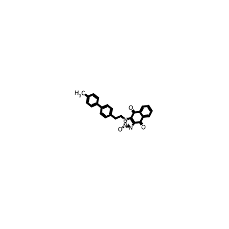 Cc1ccc(-c2ccc(CCn3c4c(n[n+]3[O-])C(=O)c3ccccc3C4=O)cc2)cc1